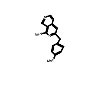 CNc1nc(Cc2ccc(OC)cc2)cc2ccncc12